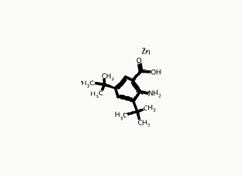 CC(C)(C)c1cc(C(=O)O)c(N)c(C(C)(C)C)c1.[Zn]